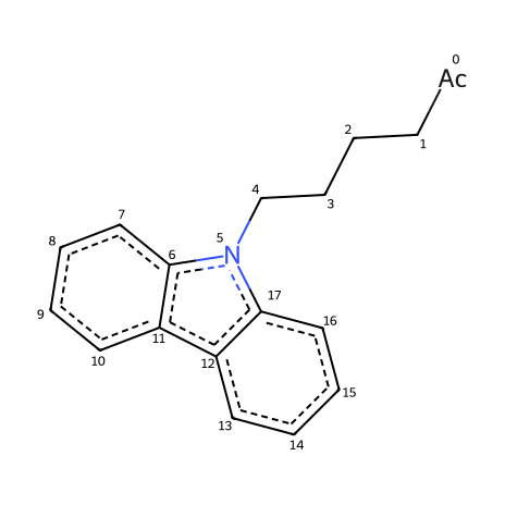 CC(=O)CCCCn1c2ccccc2c2ccccc21